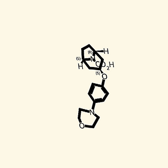 O=C(O)N1[C@@H]2CC[C@H]1C[C@H](Oc1ccc(N3CCOCC3)cc1)C2